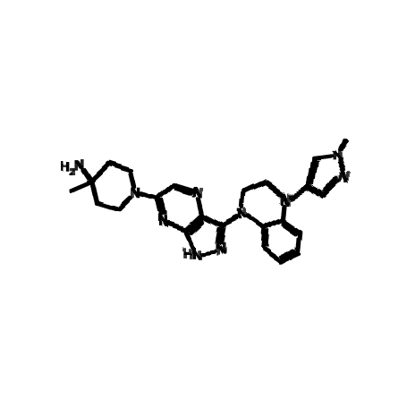 Cn1cc(N2CCN(c3n[nH]c4nc(N5CCC(C)(N)CC5)cnc34)c3ccccc32)cn1